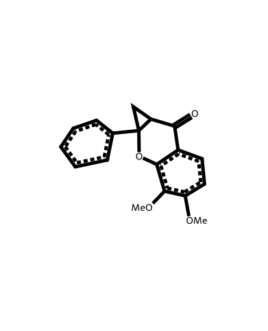 COc1ccc2c(c1OC)OC1(c3ccccc3)CC1C2=O